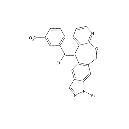 CC/C(=C1\c2cc3cnn(CC)c3cc2COc2ncccc21)c1cccc([N+](=O)[O-])c1